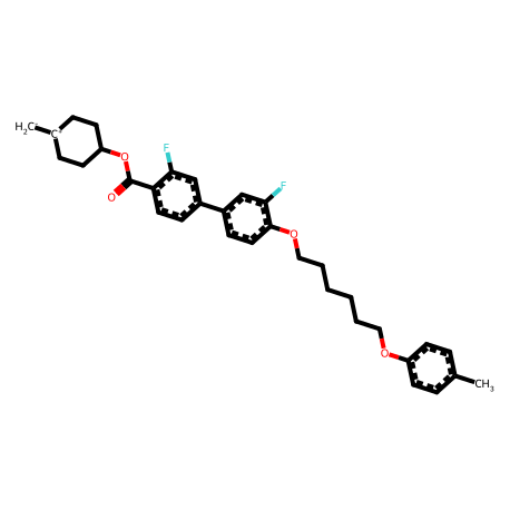 [CH2-][C+]1CCC(OC(=O)c2ccc(-c3ccc(OCCCCCCOc4ccc(C)cc4)c(F)c3)cc2F)CC1